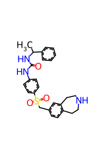 CC(NC(=O)Nc1ccc(S(=O)(=O)Cc2ccc3c(c2)CCNCC3)cc1)c1ccccc1